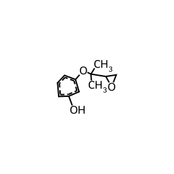 CC(C)(Oc1cccc(O)c1)C1CO1